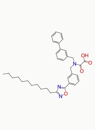 CCCCCCCCCCCc1noc(-c2cccc(CN(Cc3cccc(-c4ccccc4)c3)C(=O)C(=O)O)c2)n1